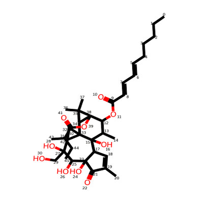 CCCCC/C=C/C=C/C(=O)OC1C(C)C2(O)C3C=C(C)C(=O)C3(O)C(O)C(O)(CO)C3CC32C2C(C)(C)C12OC(=O)C(C)CC